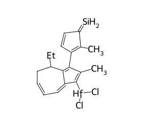 CCC1CC=CC=C2C1=C(C1=C(C)C(=[SiH2])C=C1)C(C)=[C]2[Hf]([Cl])[Cl]